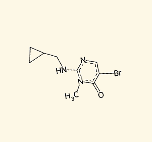 Cn1c(NCC2CC2)ncc(Br)c1=O